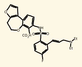 CCN(CC)CC=Cc1cc(F)ccc1S(=O)(=O)Nc1ccc2c(c1C(=O)O)OCCc1occc1-2